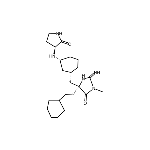 CN1C(=N)N[C@](CCC2CCCCC2)(C[C@H]2CCC[C@@H](N[C@H]3CCNC3=O)C2)C1=O